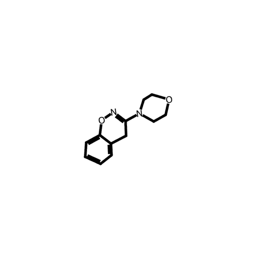 c1ccc2c(c1)CC(N1CCOCC1)=NO2